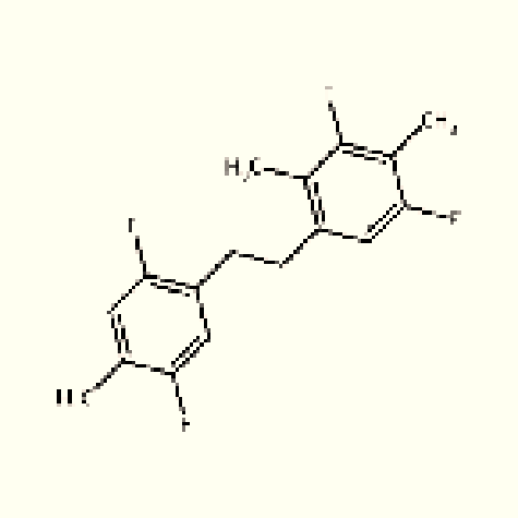 Cc1cc(F)c(CCc2cc(F)c(C)c(F)c2C)cc1F